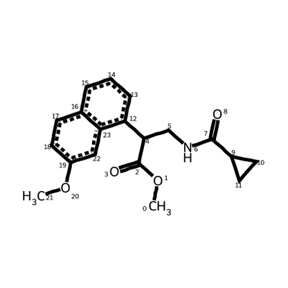 COC(=O)C(CNC(=O)C1CC1)c1cccc2ccc(OC)cc12